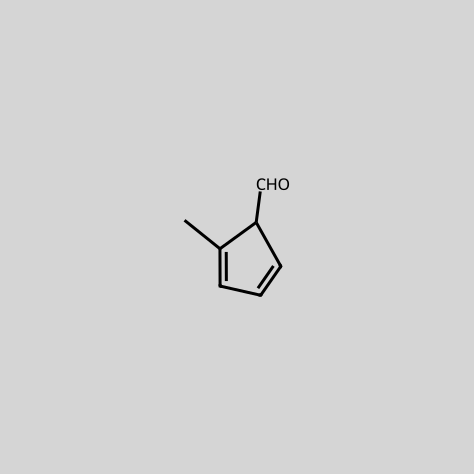 CC1=CC=CC1C=O